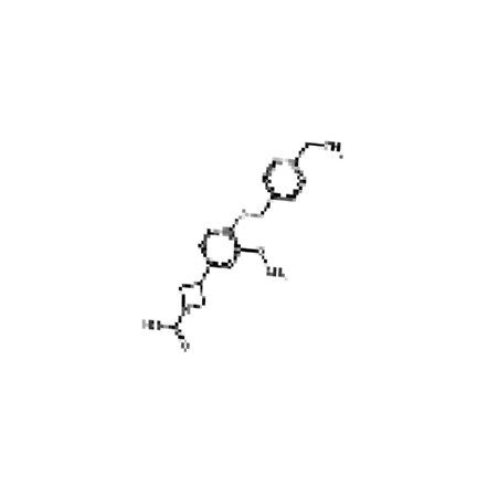 CCc1ccc(COc2ccc(C3CN(C(=O)O)C3)cc2OC)cc1